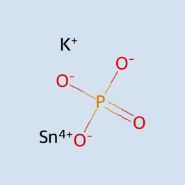 O=P([O-])([O-])[O-].[K+].[Sn+4]